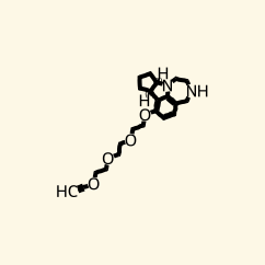 C#COCCOCCOCCOc1ccc2c3c1[C@H]1CCC[C@H]1N3CCNC2